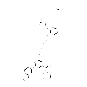 CC1CCCCN1C(=O)c1cc(OCCCCCCc2cccc(OCCCC(=O)O)c2CCC(=O)O)cc(-c2ccc3c(c2)OCO3)c1